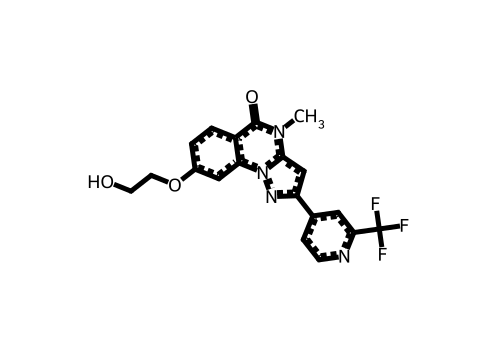 Cn1c(=O)c2ccc(OCCO)cc2n2nc(-c3ccnc(C(F)(F)F)c3)cc12